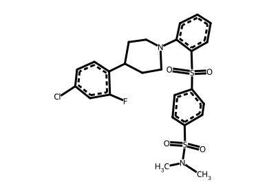 CN(C)S(=O)(=O)c1ccc(S(=O)(=O)c2ccccc2N2CCC(c3ccc(Cl)cc3F)CC2)cc1